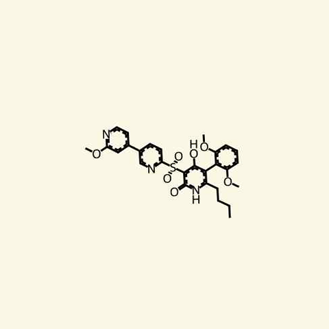 CCCCc1[nH]c(=O)c(S(=O)(=O)c2ccc(-c3ccnc(OC)c3)cn2)c(O)c1-c1c(OC)cccc1OC